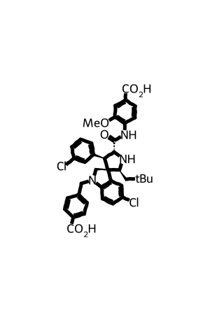 COc1cc(C(=O)O)ccc1NC(=O)[C@@H]1N[C@@H](CC(C)(C)C)[C@@]2(CN(Cc3ccc(C(=O)O)cc3)c3ccc(Cl)cc32)[C@H]1c1cccc(Cl)c1